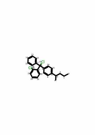 CCCC(C)c1ccc(C(Cl)(c2ccccc2)c2ccccc2Cl)cc1